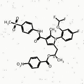 Cc1c(C(=O)Nc2ccc(S(C)(=O)=O)cc2)cc(C[C@@H](C)OC(=O)c2ccc([N+](=O)[O-])cc2)n1-c1ccc(F)cc1OC(F)F